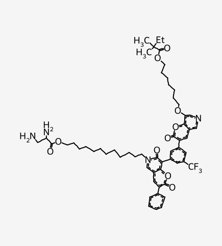 CCC(C)(C)C(=O)OCCCCCCCOc1cncc2cc(-c3cc(-c4c(=O)n(CCCCCCCCCCCCOC(=O)C(N)CN)cc5cc(-c6ccccc6)c(=O)oc45)cc(C(F)(F)F)c3)c(=O)oc12